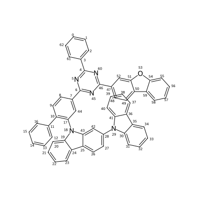 c1ccc(-c2nc(-c3ccc(-c4ccccc4)c(-n4c5ccccc5c5ccc(-n6c7ccccc7c7ccccc76)cc54)c3)nc(-c3ccc4c(c3)oc3ccccc34)n2)cc1